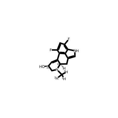 [2H]C([2H])([2H])N1C[C@@H](O)C=C2c3c(F)cc(F)c4[nH]cc(c34)C[C@H]21